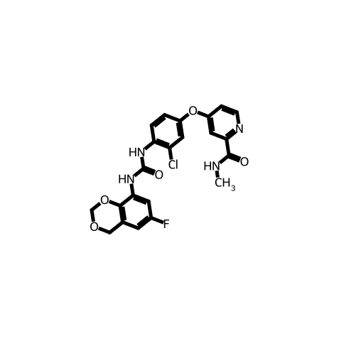 CNC(=O)c1cc(Oc2ccc(NC(=O)Nc3cc(F)cc4c3OCOC4)c(Cl)c2)ccn1